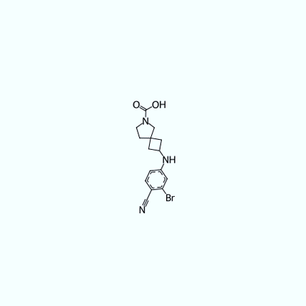 N#Cc1ccc(NC2CC3(CCN(C(=O)O)C3)C2)cc1Br